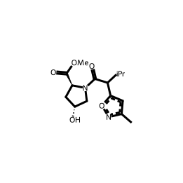 COC(=O)[C@@H]1C[C@@H](O)CN1C(=O)C(c1cc(C)no1)C(C)C